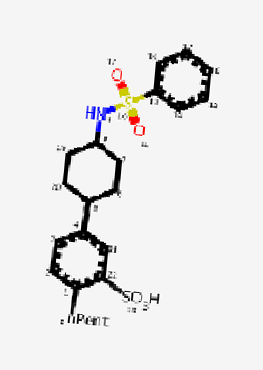 CCCCCc1ccc(C2CCC(NS(=O)(=O)c3ccccc3)CC2)cc1S(=O)(=O)O